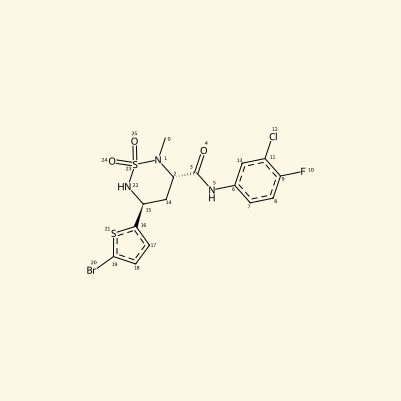 CN1[C@H](C(=O)Nc2ccc(F)c(Cl)c2)C[C@@H](c2ccc(Br)s2)NS1(=O)=O